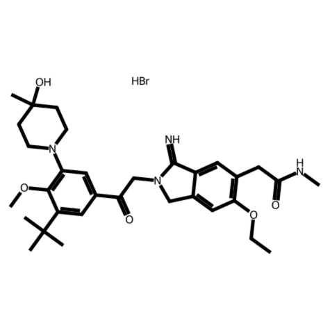 Br.CCOc1cc2c(cc1CC(=O)NC)C(=N)N(CC(=O)c1cc(N3CCC(C)(O)CC3)c(OC)c(C(C)(C)C)c1)C2